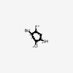 Fc1cc(S)c(Cl)cc1Br